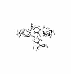 C=C(C)c1cccc([C@H]2CC3(C)C(CC[C@]3(C)O)C3CCC4(O)CC5(CCC4=C32)OCC(C)(C)CO5)c1